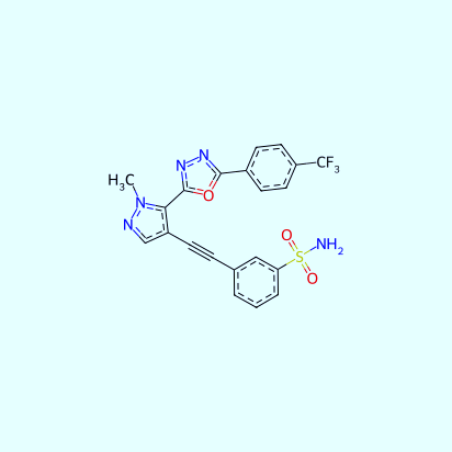 Cn1ncc(C#Cc2cccc(S(N)(=O)=O)c2)c1-c1nnc(-c2ccc(C(F)(F)F)cc2)o1